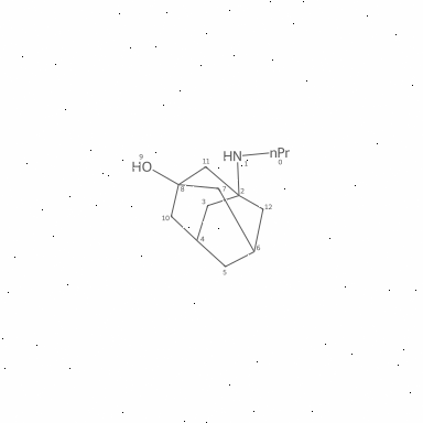 CCCNC12CC3CC(CC(O)(C3)C1)C2